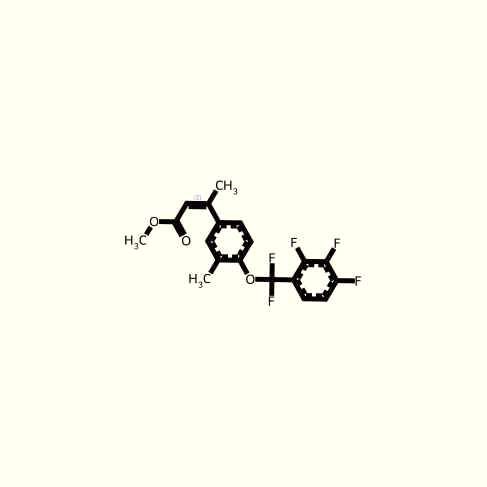 COC(=O)/C=C(/C)c1ccc(OC(F)(F)c2ccc(F)c(F)c2F)c(C)c1